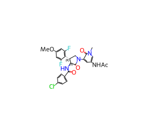 COc1cc(F)c([C@@H]2CN(c3cc(NC(C)=O)cn(C)c3=O)C(=O)[C@H]2NC(=O)c2ccc(Cl)cc2)c(F)c1